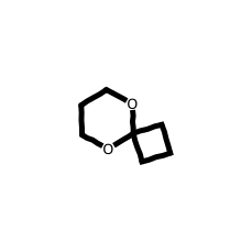 C1COC2(CCC2)OC1